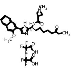 CCC(=O)CCCCC[C@H](NC(=O)C1CN(C)C1)c1ncc(-c2cc3ccccc3cc2OC)[nH]1.O=C(O)C(F)(F)F.O=C(O)C(F)(F)F